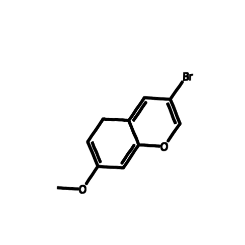 COC1=CCC2=CC(Br)=COC2=C1